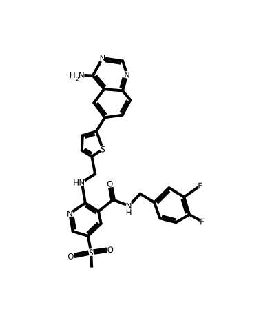 CS(=O)(=O)c1cnc(NCc2ccc(-c3ccc4ncnc(N)c4c3)s2)c(C(=O)NCc2ccc(F)c(F)c2)c1